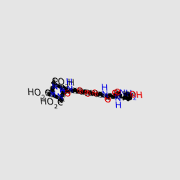 NC(=O)[C@H](Cc1ccc(O)cc1)NC(=O)CCC(=O)NCCCOCCOCCOCCCNC(=O)CN1CCN(CC(=O)O)CCN(CC(=O)O)CCN(CC(=O)O)CC1